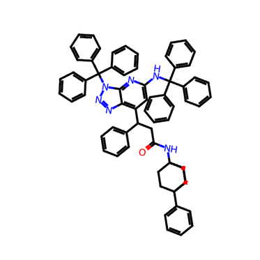 O=C(CC(c1ccccc1)c1cc(NC(c2ccccc2)(c2ccccc2)c2ccccc2)nc2c1nnn2C(c1ccccc1)(c1ccccc1)c1ccccc1)NC12CCC(c3ccccc3)(CC1)CC2